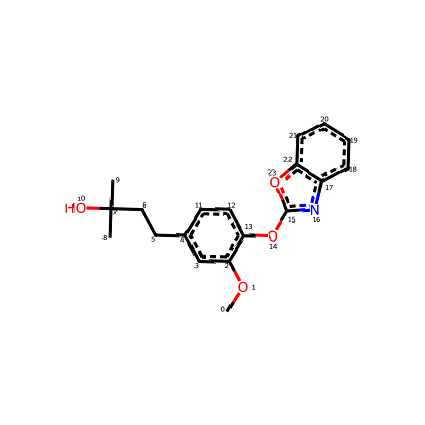 COc1cc(CCC(C)(C)O)ccc1Oc1nc2ccccc2o1